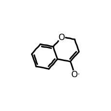 [O]C1=CCOc2ccccc21